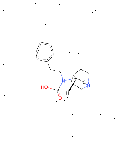 O=C(O)N(CCc1ccccc1)[C@H]1CN2CCC1CC2